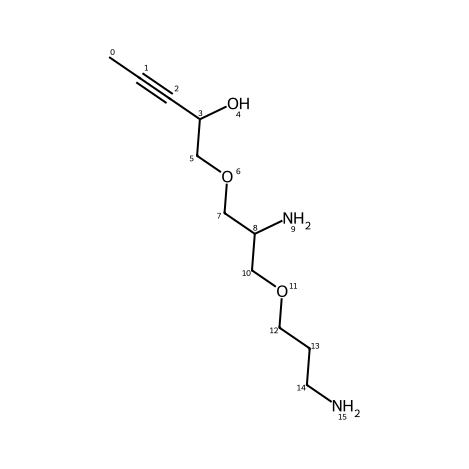 CC#CC(O)COCC(N)COCCCN